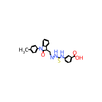 Cc1ccc(N2C(=O)C(C/C=N\NC(=S)Nc3cccc(C(=O)O)c3)c3ccccc32)cc1